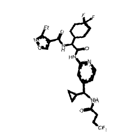 CCc1nocc1C(=O)NC(C(=O)Nc1cc(C(NC(=O)CCC(F)(F)F)C2CC2)ccn1)C1CCC(F)(F)CC1